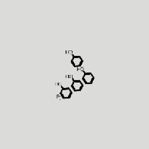 Oc1ccccc1.Oc1ccccc1.Oc1ccccc1.Oc1ccccc1.[P]